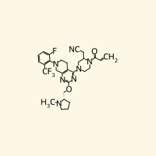 C=CC(=O)N1CCN(c2nc(OC[C@@H]3CCCN3C)nc3c2CCN(c2c(F)cccc2C(F)(F)F)C3)CC1CC#N